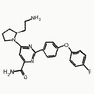 NCC[C@@H]1CCCN1c1cc(C(N)=O)nc(-c2ccc(Oc3ccc(F)cc3)cc2)n1